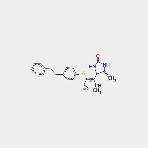 C=C1NC(=O)NC1/C(C)=C(/C=C\C)Sc1ccc(CCc2ccccc2)cc1